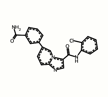 NC(=O)c1cccc(-c2ccc3ncc(C(=O)Nc4ccccc4Cl)n3c2)c1